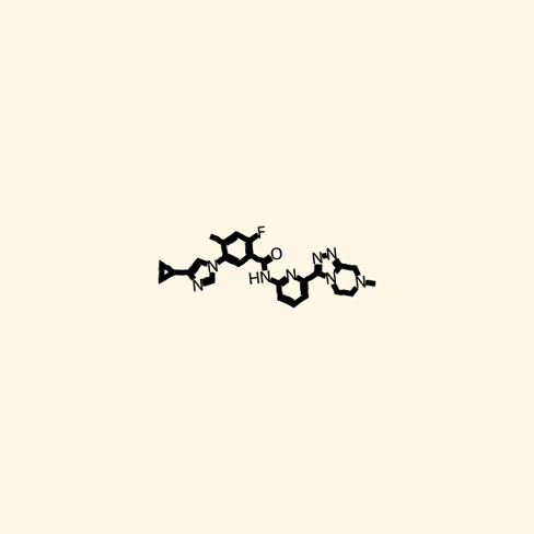 Cc1cc(F)c(C(=O)Nc2cccc(-c3nnc4n3CCN(C)C4)n2)cc1-n1cnc(C2CC2)c1